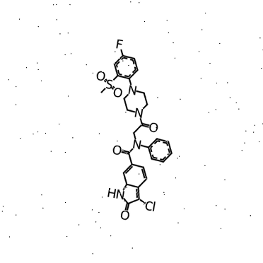 CS(=O)(=O)c1cc(F)ccc1N1CCN(C(=O)CN(C(=O)C2=CC3NC(=O)C(Cl)=C3C=C2)c2ccccc2)CC1